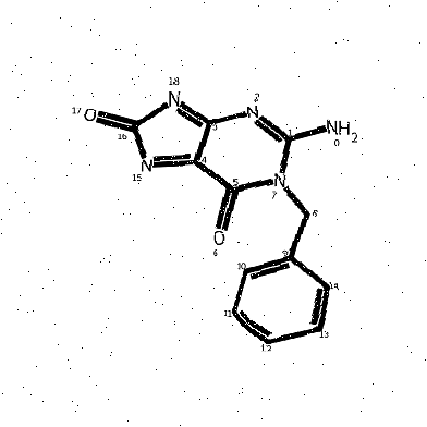 Nc1nc2c(c(=O)n1Cc1ccccc1)=NC(=O)N=2